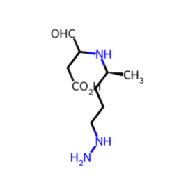 C[C@@H](CCCNN)NC(C=O)CC(=O)O